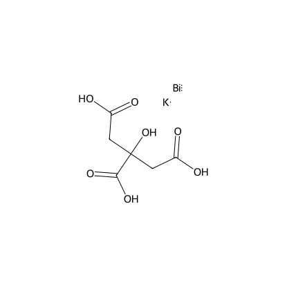 O=C(O)CC(O)(CC(=O)O)C(=O)O.[Bi].[K]